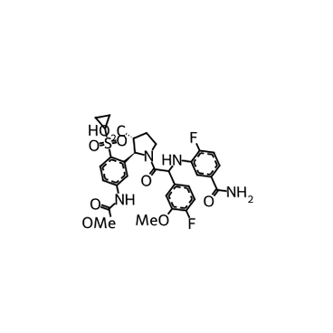 COC(=O)Nc1ccc(S(=O)(=O)C2CC2)c([C@H]2[C@H](C(=O)O)CCN2C(=O)C(Nc2cc(C(N)=O)ccc2F)c2ccc(F)c(OC)c2)c1